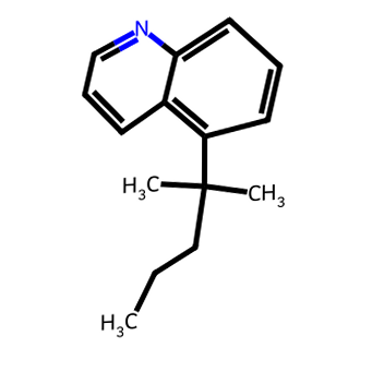 CCCC(C)(C)c1cccc2ncccc12